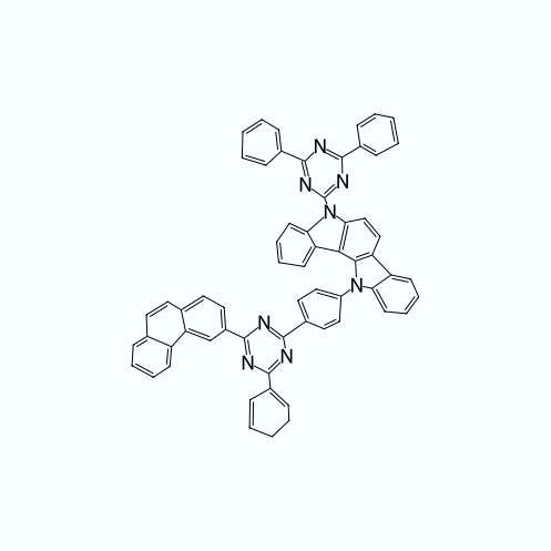 C1=CC(c2nc(-c3ccc(-n4c5ccccc5c5ccc6c(c7ccccc7n6-c6nc(-c7ccccc7)nc(-c7ccccc7)n6)c54)cc3)nc(-c3ccc4ccc5ccccc5c4c3)n2)=CCC1